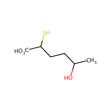 CC(O)CCC(S)C(=O)O